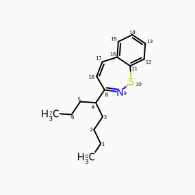 CCCCC(CCC)C1=NSc2ccccc2C=C1